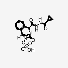 O=C(NNC(=O)[C@@H]1c2ccccc2[C@@H]2CN1C(=O)N2OS(=O)(=O)O)C1CC1